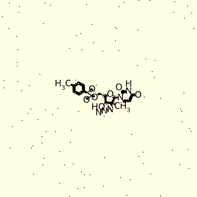 Cc1ccc(S(=O)(=O)OC[C@H]2O[C@@H](n3ccc(=O)[nH]c3=O)[C@](C)(N=[N+]=[N-])[C@@H]2O)cc1